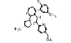 CCc1ccc(C(=O)Nc2c(-c3cc(C)ccc3F)ccnc2N2CC[C@H](C)C2)nc1